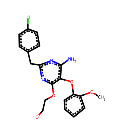 COc1ccccc1Oc1c(N)nc(Cc2ccc(Cl)cc2)nc1OCCO